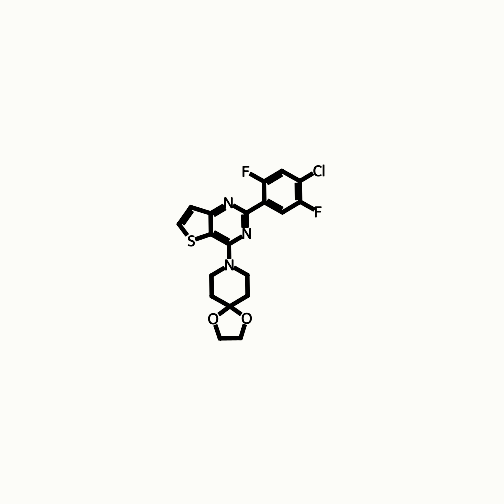 Fc1cc(-c2nc(N3CCC4(CC3)OCCO4)c3sccc3n2)c(F)cc1Cl